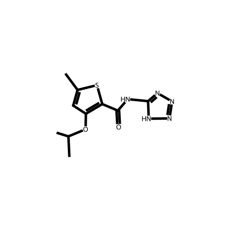 Cc1cc(OC(C)C)c(C(=O)Nc2nnn[nH]2)s1